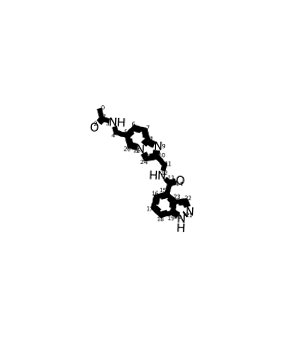 CC(=O)NCc1ccc2nc(CNC(=O)c3cccc4[nH]ncc34)cn2c1